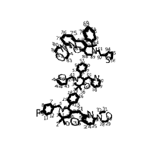 CC1(C)CN(Cc2ccc(F)cc2)C(c2ccccc2)C(=Cc2cccc(N3CCOCC3)n2)C1=O.CC1(C)CN(Cc2ccco2)C(c2ccccc2)C(=Cc2ccccn2)C1=O.CC1(c2ccccc2)C(=Cc2cccc(N3CCOCC3)n2)C(=O)CCN1CCc1cccs1